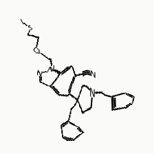 N#Cc1cc2c(cnn2COCCSI)cc1C1(Cc2ccccc2)CCN(Cc2ccccc2)C1